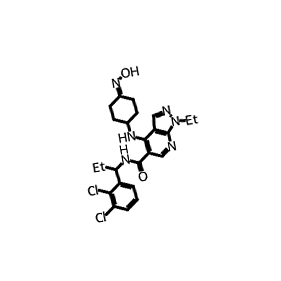 CCC(NC(=O)c1cnc2c(cnn2CC)c1NC1CCC(=NO)CC1)c1cccc(Cl)c1Cl